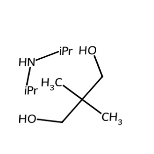 CC(C)(CO)CO.CC(C)NC(C)C